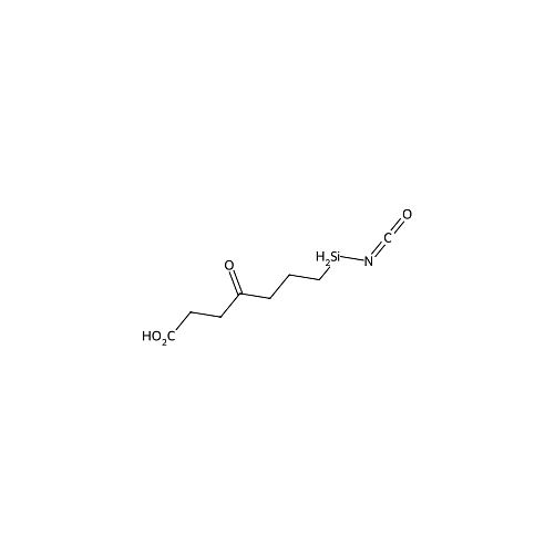 O=C=N[SiH2]CCCC(=O)CCC(=O)O